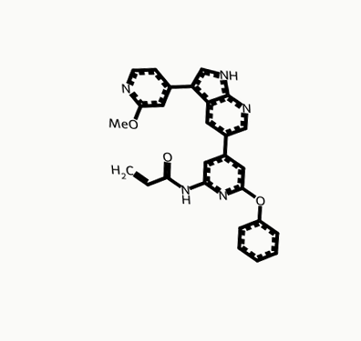 C=CC(=O)Nc1cc(-c2cnc3[nH]cc(-c4ccnc(OC)c4)c3c2)cc(Oc2ccccc2)n1